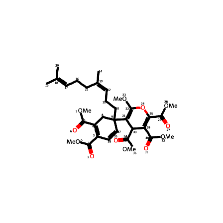 COC(=O)C1=C(C(=O)OC)CC(CCC=C(C)CCC=C(C)C)(C2=C(OC)OC(C(=O)OC)=C(C(=O)OC)C2C(=O)OC)C=C1